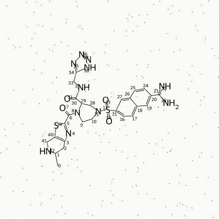 CC1Cc2nc(C(=O)N3CCN(S(=O)(=O)c4ccc5cc(C(=N)N)ccc5c4)CC3C(=O)NCc3nnn[nH]3)sc2CN1